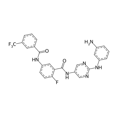 Nc1cccc(Nc2ncc(NC(=O)c3cc(NC(=O)c4cccc(C(F)(F)F)c4)ccc3F)cn2)c1